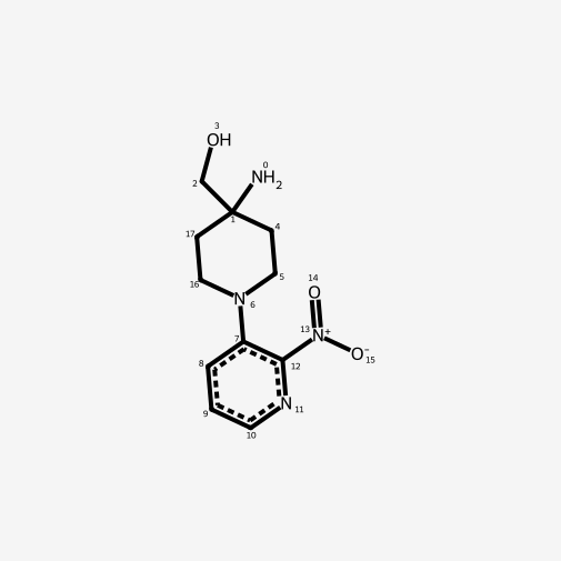 NC1(CO)CCN(c2cccnc2[N+](=O)[O-])CC1